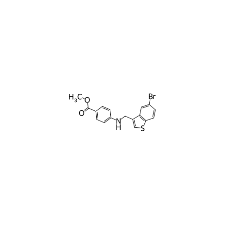 COC(=O)c1ccc(NCc2csc3ccc(Br)cc23)cc1